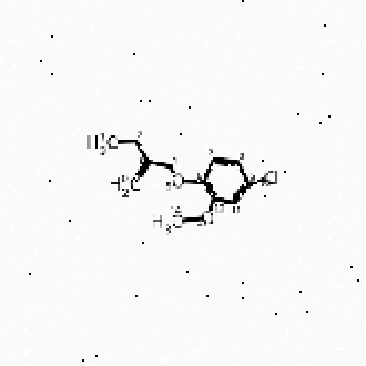 C=C(CC)COc1ccc(Cl)cc1OC